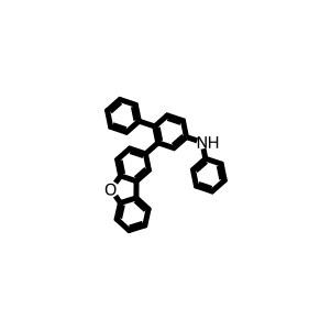 c1ccc(Nc2ccc(-c3ccccc3)c(-c3ccc4oc5ccccc5c4c3)c2)cc1